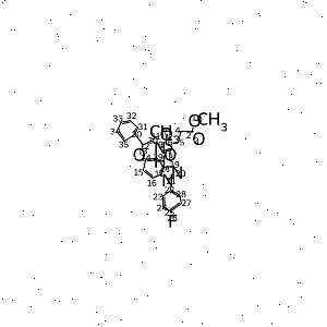 COC(=O)CCS(=O)(=O)N[C@@H](C)[C@H](Oc1ccc2c(cnn2-c2ccc(F)cc2)c1)c1ccccc1